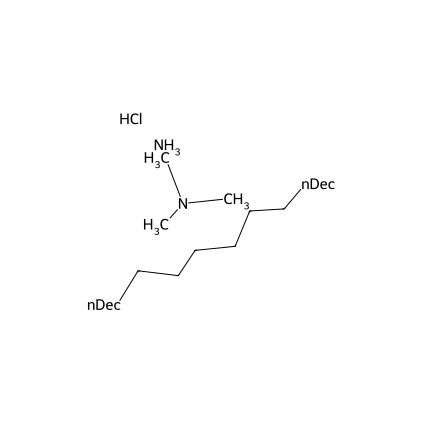 CCCCCCCCCCCCCCCCCCCCCCCCCC.CN(C)C.Cl.N